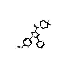 COc1ccc(-n2nc(C(=O)N3CCC(F)(F)CC3)cc2-c2cnccn2)cn1